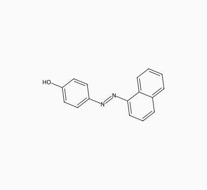 Oc1ccc(N=Nc2cccc3ccccc23)cc1